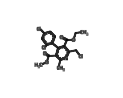 CCOC(=O)c1c(CCl)nc(C)c(C(=O)OC)c1-c1ccc(Cl)cc1Cl